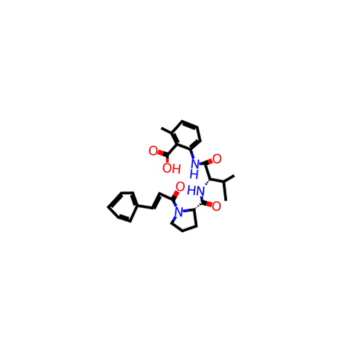 Cc1cccc(NC(=O)[C@@H](NC(=O)[C@@H]2CCCN2C(=O)/C=C/c2ccccc2)C(C)C)c1C(=O)O